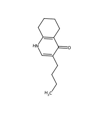 CCCCc1c[nH]c2c(c1=O)CCCC2